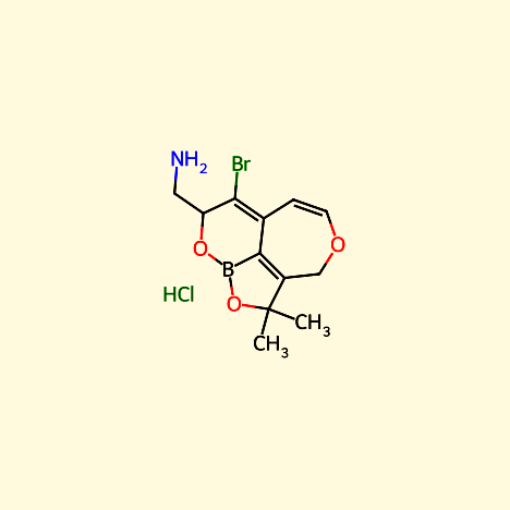 CC1(C)OB2OC(CN)C(Br)=C3C=COCC1=C23.Cl